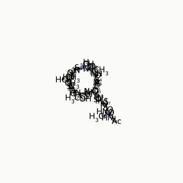 C/C=C(\NC(=O)c1csc(-c2csc(-c3ccc4c(n3)-c3csc(n3)C(C(C)O)NC(=O)c3csc(n3)C(C(C)(C)O)NC(=O)c3csc(n3)/C(=C/C)NC(=O)C(C(C)O)NC(=O)c3csc-4n3)n2)n1)C(=O)NCC(C)=O